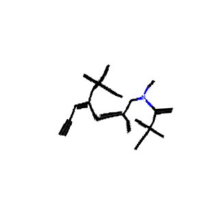 C#C/C=C(\C=C(\C)CN(C)C(=C)C(C)(C)C)C(C)(C)C